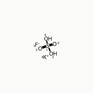 O=S(=O)(O)O.[F-].[K+]